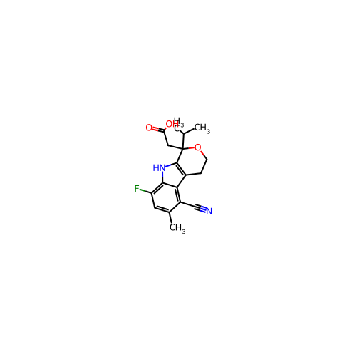 Cc1cc(F)c2[nH]c3c(c2c1C#N)CCOC3(CC(=O)O)C(C)C